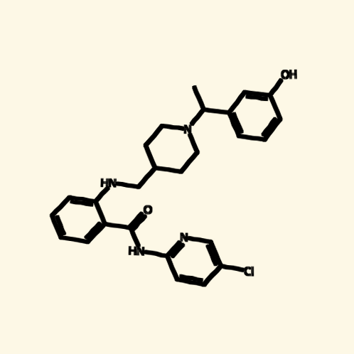 CC(c1cccc(O)c1)N1CCC(CNc2ccccc2C(=O)Nc2ccc(Cl)cn2)CC1